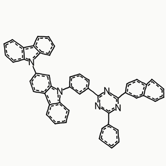 c1ccc(-c2nc(-c3cccc(-n4c5ccccc5c5ccc(-n6c7ccccc7c7ccccc76)cc54)c3)nc(-c3ccc4ccccc4c3)n2)cc1